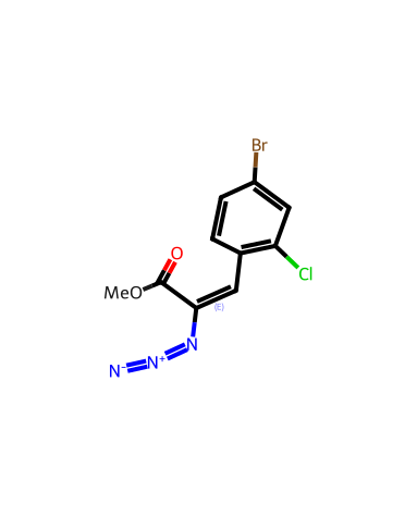 COC(=O)/C(=C\c1ccc(Br)cc1Cl)N=[N+]=[N-]